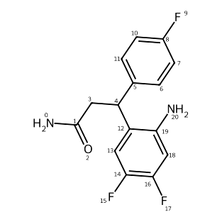 NC(=O)CC(c1ccc(F)cc1)c1cc(F)c(F)cc1N